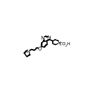 O=C(O)N1CCC(c2ncnc3cc(OCCCN4CCCC4)ccc23)CC1